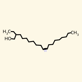 CCCCCCCC/C=C\CCCCCCC[C](CC)CO